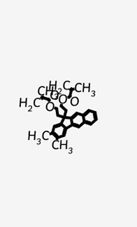 C=C(C)C(=O)OCCC1(CCOC(=O)C(=C)C)c2cc(C)c(C)cc2-c2cc3ccccc3cc21